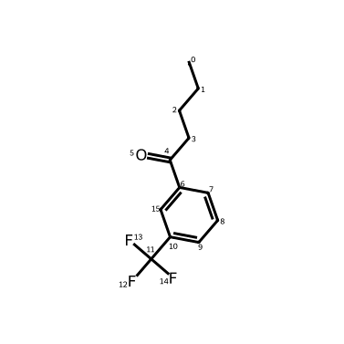 [CH2]CCCC(=O)c1cccc(C(F)(F)F)c1